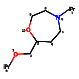 CC(C)OCC1CCN(C(C)C)CCO1